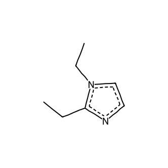 CCc1nccn1CC